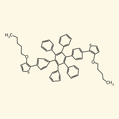 CCCCCOc1ccsc1-c1ccc(-c2c(-c3ccccc3)c(-c3ccccc3)c(-c3ccc(-c4sccc4OCCCCC)cc3)c(-c3ccccc3)c2-c2ccccc2)cc1